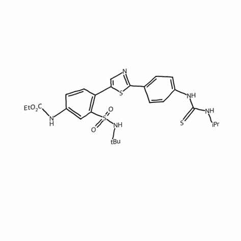 CCOC(=O)Nc1ccc(-c2cnc(-c3ccc(NC(=S)NC(C)C)cc3)s2)c(S(=O)(=O)NC(C)(C)C)c1